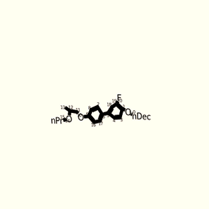 CCCCCCCCCCOc1ccc(-c2ccc(OCC(C)OCCC)cc2)cc1F